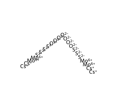 [Cs+].[Cs+].[Cs+].[Cs+].[Mo+6].[Mo+6].[Mo+6].[Mo+6].[O-2].[O-2].[O-2].[O-2].[O-2].[O-2].[O-2].[S-2].[S-2].[S-2].[S-2].[S-2].[S-2].[S-2]